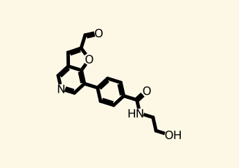 O=Cc1cc2cncc(-c3ccc(C(=O)NCCO)cc3)c2o1